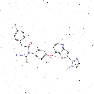 Cn1ccnc1-c1cc2nccc(Oc3ccc(N(C(=O)Cc4ccc(F)cc4)C(N)=S)cc3)c2s1